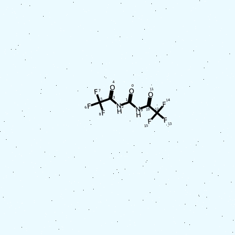 O=C(NC(=O)C(F)(F)F)NC(=O)C(F)(F)F